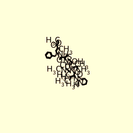 CC[C@H](C)[C@H](NC(=O)[C@H]1CCCCN1C)C(=O)N(CC(=O)NC(C)C)[C@H](C[C@@H](O)c1nc(C(=O)N[C@@H](Cc2ccccc2)C[C@H](C)C(=O)OC)cs1)C(C)C